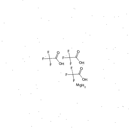 O=C(O)C(F)(F)F.O=C(O)C(F)(F)F.O=C(O)C(F)(F)F.[MgH2]